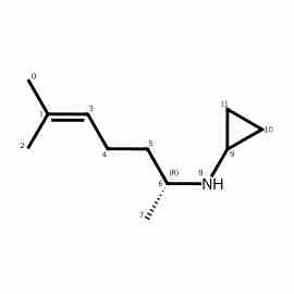 CC(C)=CCC[C@@H](C)NC1CC1